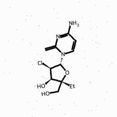 C=C1N=C(N)C=CN1[C@@H]1O[C@](CC)(CO)[C@@H](O)[C@H]1Cl